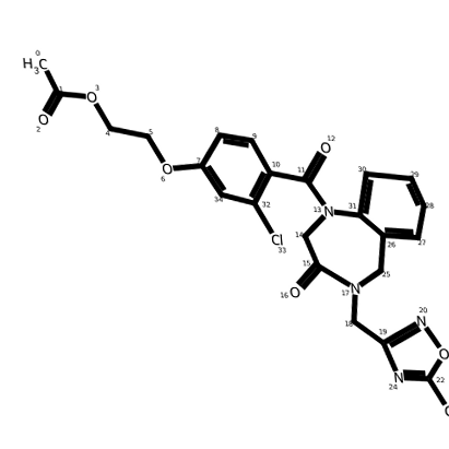 CC(=O)OCCOc1ccc(C(=O)N2CC(=O)N(Cc3noc(C)n3)Cc3ccccc32)c(Cl)c1